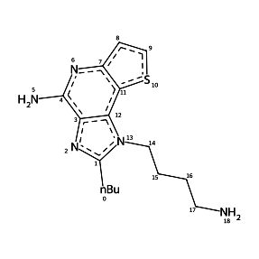 CCCCc1nc2c(N)nc3ccsc3c2n1CCCCN